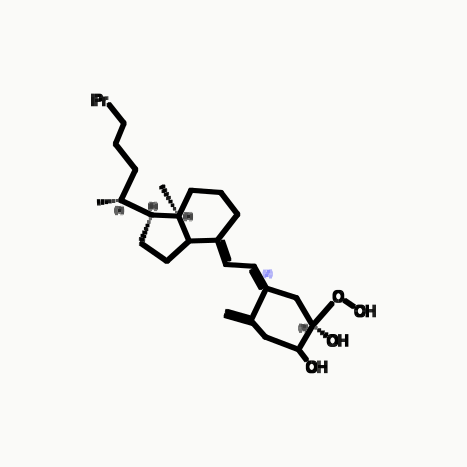 C=C1CC(O)[C@](O)(OO)C/C1=C/C=C1CCC[C@@]2(C)C1CC[C@@H]2[C@H](C)CCCC(C)C